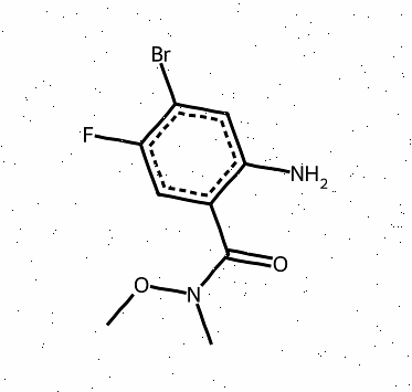 CON(C)C(=O)c1cc(F)c(Br)cc1N